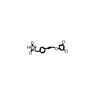 O=c1[nH]c(=O)n(Cc2ccc(C#CCOc3cc(Cl)cc(Cl)c3)cc2)o1